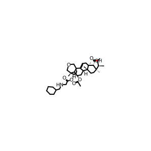 CC(=O)O[C@@H]1C[C@]23COC[C@](C)([C@@H]2CC[C@H]2C3=CC[C@@]3(C)[C@H](C(=O)O)[C@@](C)([C@H](C)C(C)C)CC[C@]23C)[C@H]1OC(=O)CNCC1CCCCC1